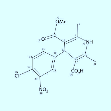 COC(=O)C1=C(C)NC(C)=C(C(=O)O)C1c1ccc(Cl)c([N+](=O)[O-])c1